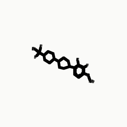 CCCOc1ccc(C2CCC(C3CCC(C(F)(F)CC)CC3)CC2)c(F)c1F